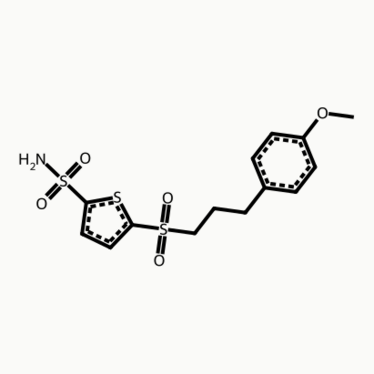 COc1ccc(CCCS(=O)(=O)c2ccc(S(N)(=O)=O)s2)cc1